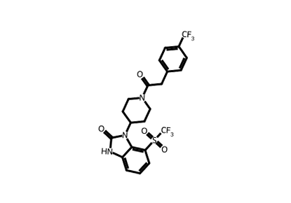 O=C(Cc1ccc(C(F)(F)F)cc1)N1CCC(n2c(=O)[nH]c3cccc(S(=O)(=O)C(F)(F)F)c32)CC1